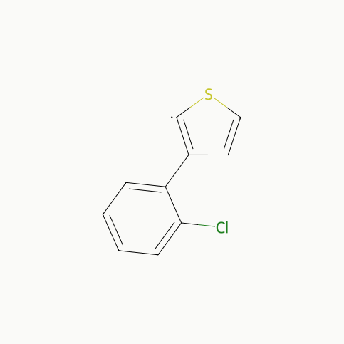 Clc1ccccc1-c1[c]scc1